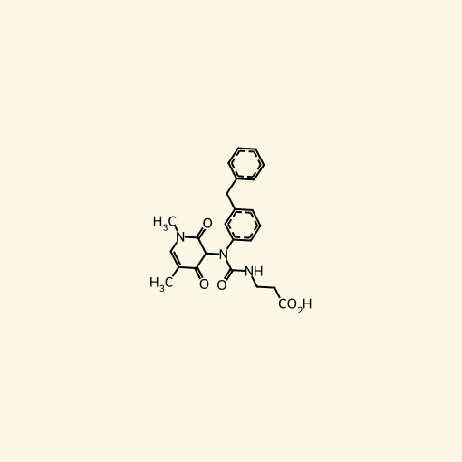 CC1=CN(C)C(=O)C(N(C(=O)NCCC(=O)O)c2cccc(Cc3ccccc3)c2)C1=O